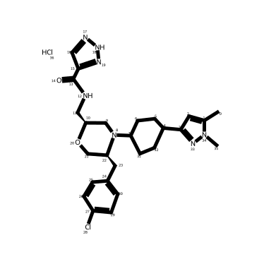 Cc1cc(C2CCC(N3C[C@H](CNC(=O)c4cn[nH]n4)OC[C@@H]3Cc3ccc(Cl)cc3)CC2)nn1C.Cl